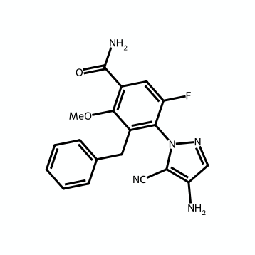 COc1c(C(N)=O)cc(F)c(-n2ncc(N)c2C#N)c1Cc1ccccc1